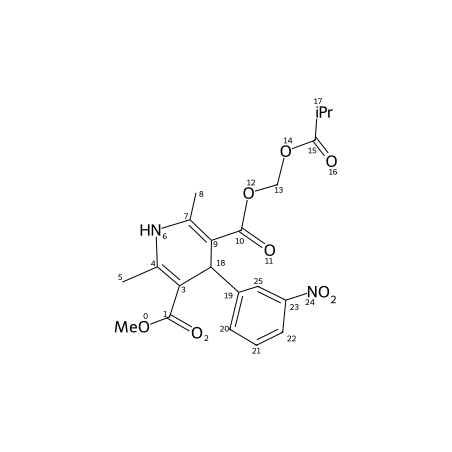 COC(=O)C1=C(C)NC(C)=C(C(=O)OCOC(=O)C(C)C)C1c1cccc([N+](=O)[O-])c1